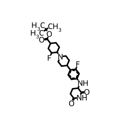 CC(C)(C)OC(=O)C1CCC(N2CCC(c3ccc(NC4CCC(=O)NC4=O)cc3F)CC2)C(F)C1